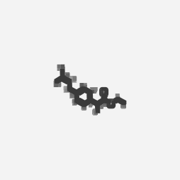 CCOC(=O)C(C)c1ccc(CC=C(C)C)cc1